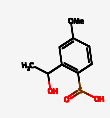 COc1ccc(S(=O)O)c(C(C)O)c1